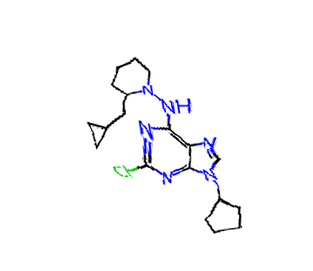 Clc1nc(NN2CCCCC2CC2CC2)c2ncn(C3CCCC3)c2n1